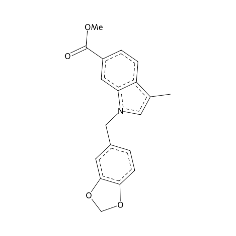 COC(=O)c1ccc2c(C)cn(Cc3ccc4c(c3)OCO4)c2c1